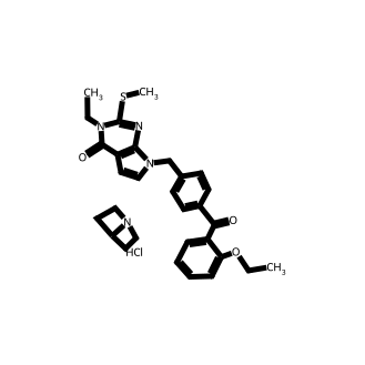 C1CN2CCC12.CCOc1ccccc1C(=O)c1ccc(Cn2ccc3c(=O)n(CC)c(SC)nc32)cc1.Cl